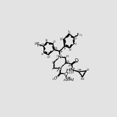 CC(C)(C)OC(=O)N1CCN(C(c2ccc(F)cc2)c2ccc(F)cc2)CC1C(=O)NC1CC1